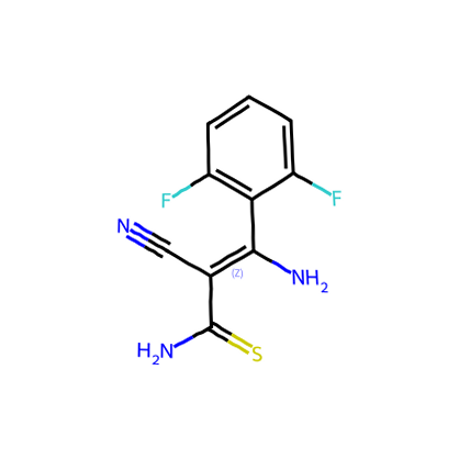 N#C/C(C(N)=S)=C(/N)c1c(F)cccc1F